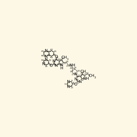 CCc1[nH]c2nc(Oc3cncnc3)nc(N3CC4C(C3)C4NCCc3[nH]c4nc(Oc5cncnc5)nc(Oc5ccc6nccnc6c5)c4c3C)c2c1C